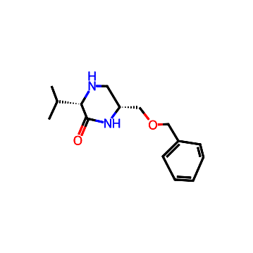 CC(C)[C@@H]1NC[C@H](COCc2ccccc2)NC1=O